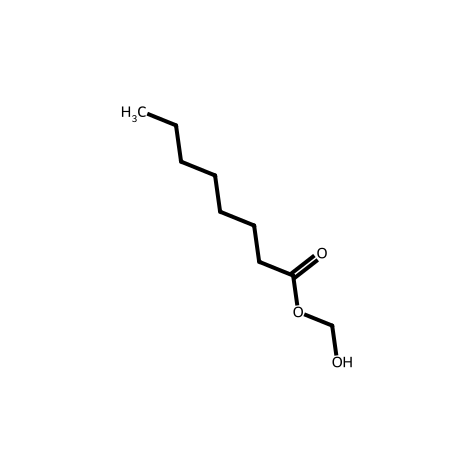 CCCCCCCC(=O)OCO